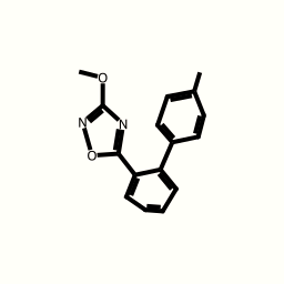 COc1noc(-c2ccccc2-c2ccc(C)cc2)n1